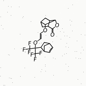 O=C1OC2C3CC(CC13)C2O/C=C/OC(C1CC2C=CC1C2)(C(F)(F)F)C(F)(F)F